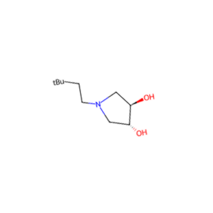 CC(C)(C)CCN1C[C@@H](O)[C@H](O)C1